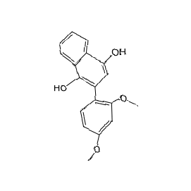 COc1ccc(-c2cc(O)c3ccccc3c2O)c(OC)c1